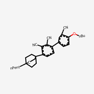 CCCCCC12CCC(c3ccc(-c4ccc(OCCCC)c(C#N)c4)c(C#N)c3C#N)(CC1)CC2